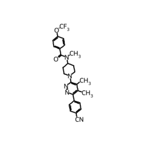 Cc1c(-c2ccc(C#N)cc2)nnc(N2CCC(N(C)C(=O)c3ccc(OC(F)(F)F)cc3)CC2)c1C